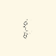 COc1ccc(C(=O)CCC(C)N2C(=O)c3ccccc3C2=O)cc1